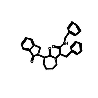 O=C(NCc1ccccc1)C(Cc1ccccc1)N1CCCCC(N2Cc3ccccc3C2=O)C1=O